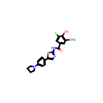 O=Cc1cc(C(=O)Nc2ncc(-c3ccc(N4CCCC4)cc3)s2)cc(F)c1O